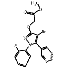 COC(=O)COc1nn(-c2ccccc2F)c(-c2cncnc2)c1Br